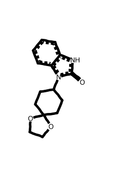 O=c1[nH]c2ccccc2n1C1CCC2(CC1)OCCO2